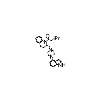 CC(C)CC(=O)N1c2ccccc2CCC1CN1CCN(c2cccc3[nH]ccc23)CC1